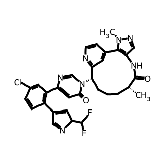 C[C@@H]1CCC[C@H](n2cnc(-c3cc(Cl)ccc3C3=CC(C(F)F)N=C3)cc2=O)c2cc(ccn2)-c2c(cnn2C)NC1=O